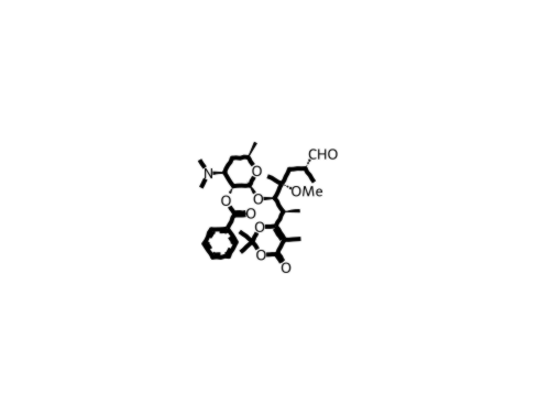 CO[C@](C)(C[C@@H](C)C=O)[C@H](O[C@@H]1O[C@H](C)C[C@H](N(C)C)[C@H]1OC(=O)c1ccccc1)[C@@H](C)C1=C(C)C(=O)OC(C)(C)O1